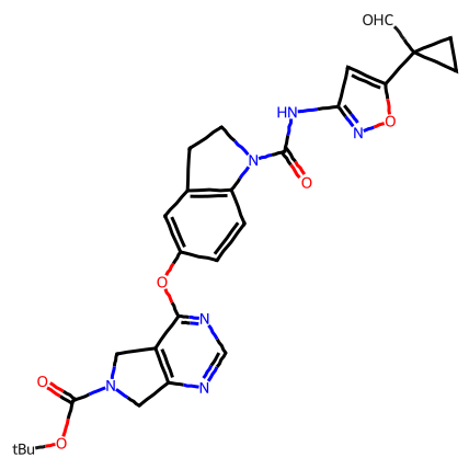 CC(C)(C)OC(=O)N1Cc2ncnc(Oc3ccc4c(c3)CCN4C(=O)Nc3cc(C4(C=O)CC4)on3)c2C1